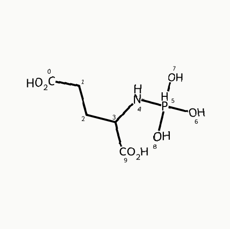 O=C(O)CCC(N[PH](O)(O)O)C(=O)O